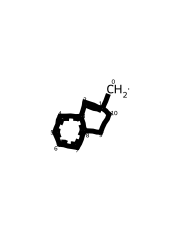 [CH2]C1=Cc2ccccc2CC1